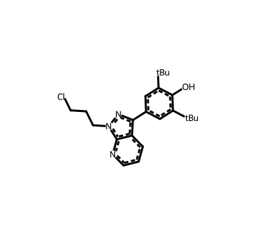 CC(C)(C)c1cc(-c2nn(CCCCl)c3ncccc23)cc(C(C)(C)C)c1O